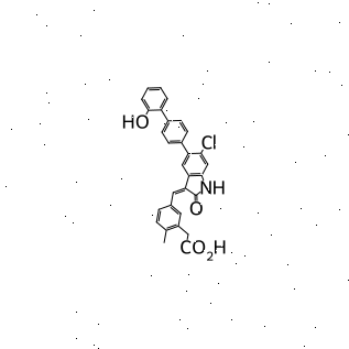 Cc1ccc(C=C2C(=O)Nc3cc(Cl)c(-c4ccc(-c5ccccc5O)cc4)cc32)cc1CC(=O)O